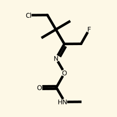 CNC(=O)ON=C(CF)C(C)(C)CCl